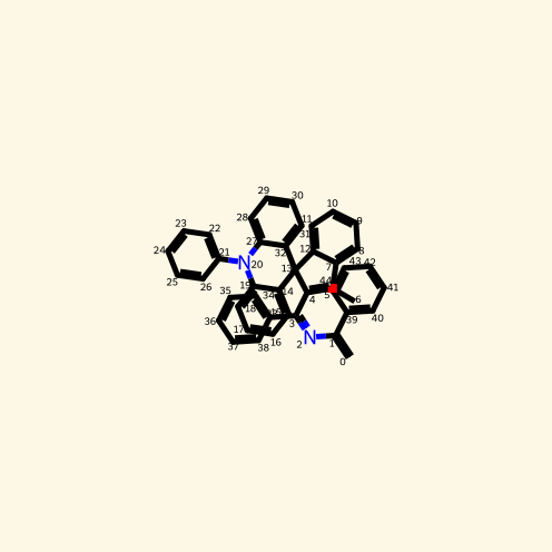 C=C(/N=C(\C1=C(C)c2ccccc2C12c1ccccc1N(c1ccccc1)c1ccccc12)c1ccccc1)c1ccccc1